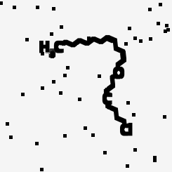 CCCCCCC/C=C\C/C=C\COCCC=C=CCCCCl